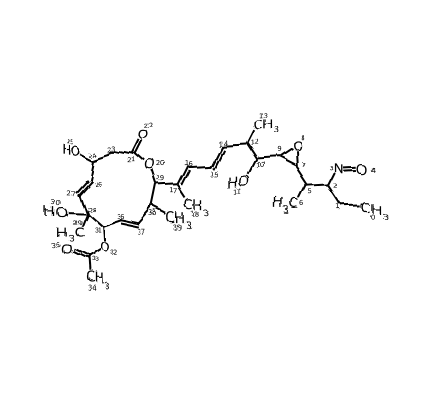 CCC(N=O)C(C)C1OC1C(O)C(C)/C=C/C=C(\C)C1OC(=O)CC(O)/C=C/C(C)(O)C(OC(C)=O)/C=C/C1C